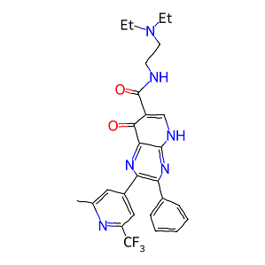 CCN(CC)CCNC(=O)c1c[nH]c2nc(-c3ccccc3)c(-c3cc(C)nc(C(F)(F)F)c3)nc2c1=O